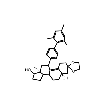 Cc1cc(C)c(-c2ccc(C3C[C@]4(C)C(O)CCC4C4CC[C@@]5(O)CC6(CCC5=C34)OCCO6)cc2)c(C)c1